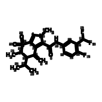 C=C1c2c(cn(C)c2C(=O)Nc2ccc(F)c(C(F)F)c2)S(=O)(=O)N(C)C1C(C)C